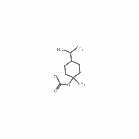 CC(C)C1CCC(C)(OC(=O)Cl)CC1